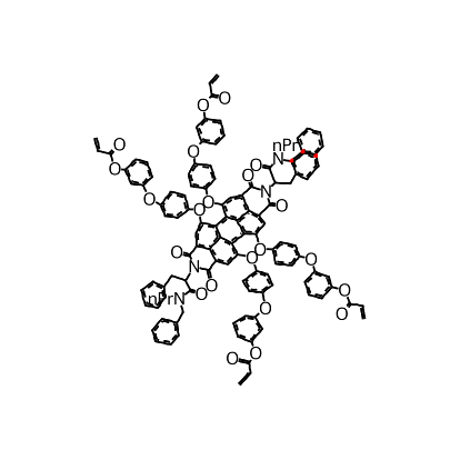 C=CC(=O)Oc1cccc(Oc2ccc(Oc3cc4c5c(cc(Oc6ccc(Oc7cccc(OC(=O)C=C)c7)cc6)c6c7c(Oc8ccc(Oc9cccc(OC(=O)C=C)c9)cc8)cc8c9c(cc(Oc%10ccc(Oc%11cccc(OC(=O)C=C)c%11)cc%10)c(c3c56)c97)C(=O)N(C(Cc3ccccc3)C(=O)N(CCC)Cc3ccccc3)C8=O)C(=O)N(C(Cc3ccccc3)C(=O)N(CCC)Cc3ccccc3)C4=O)cc2)c1